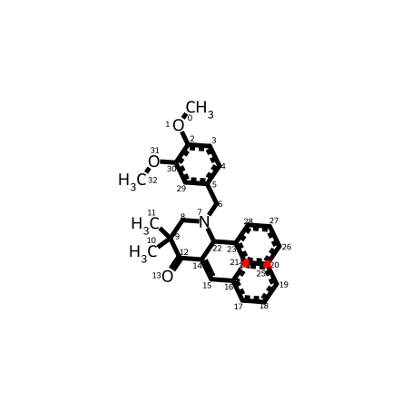 COc1ccc(CN2CC(C)(C)C(=O)/C(=C/c3ccccn3)C2c2ccccc2)cc1OC